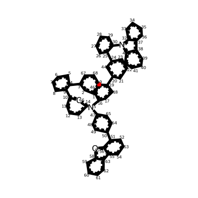 c1ccc(-c2ccccc2-c2cccc(N(c3ccc(-c4cccc(-c5ccccc5-n5c6ccccc6c6ccccc65)c4)cc3)c3ccc(-c4cccc5c4oc4ccccc45)cc3)c2)cc1